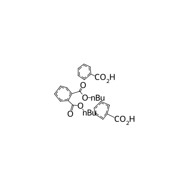 CCCCOC(=O)c1ccccc1C(=O)OCCCC.O=C(O)c1ccccc1.O=C(O)c1ccccc1